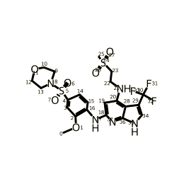 COc1cc(S(=O)(=O)N2CCOCC2)ccc1Nc1cc(NCCS(C)(=O)=O)c2c(C(F)(F)F)c[nH]c2n1